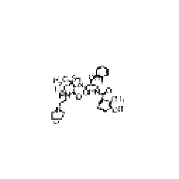 Cc1c(O)cccc1C(=O)N[C@@H](Cc1ccccc1)[C@H](O)C(=O)N1CSC(C)(C)[C@H]1C(=O)NCCN1CCOCC1